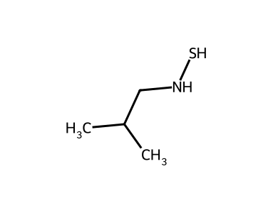 CC(C)CNS